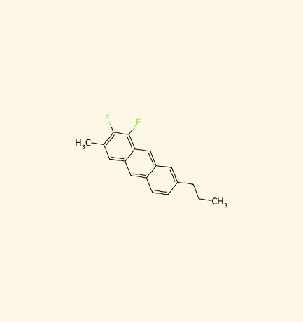 CCCc1ccc2cc3cc(C)c(F)c(F)c3cc2c1